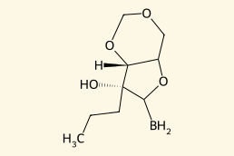 BC1OC2COCO[C@H]2[C@]1(O)CCC